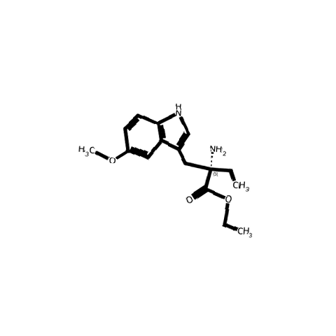 CCOC(=O)[C@](N)(CC)Cc1c[nH]c2ccc(OC)cc12